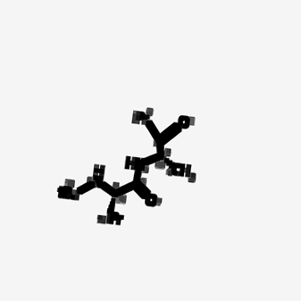 CC(C)C(=O)[C@H](C)NC(=O)[C@@H](NC(C)(C)C)C(C)C